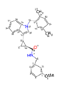 COc1cccc(CNC(=O)[C@H]2C[C@@H]2c2cn(Cc3cc(C)ccc3C)c3ccccc23)c1